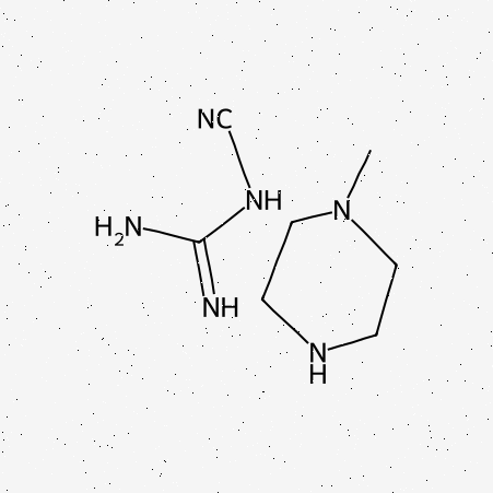 CN1CCNCC1.N#CNC(=N)N